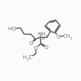 CCOC(=O)[C@@](N)(Cc1ccccc1OC)C(=O)CCCO